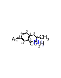 CC(=O)c1ccc(C[C@@H](C)N)c(C(=O)O)c1